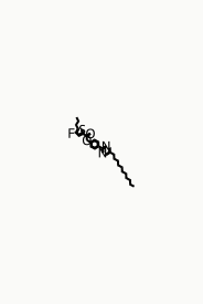 CCCCCCCCCCCc1cnc(-c2ccc(OC(=O)c3cc(F)c(CCC)s3)cc2)nc1